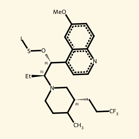 CC[C@@H]([C@H](OSI)c1ccnc2ccc(OC)cc12)N1CCC(C)[C@@H](CCC(F)(F)F)C1